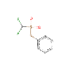 O=S(=O)(Sc1ccccc1)C(F)F